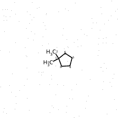 CC1(C)[CH]CC[CH]1